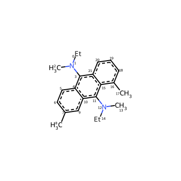 CCN(C)c1c2ccc(C)cc2c(N(C)CC)c2c(C)cccc12